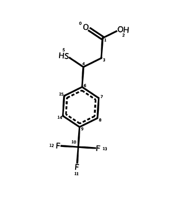 O=C(O)CC(S)c1ccc(C(F)(F)F)cc1